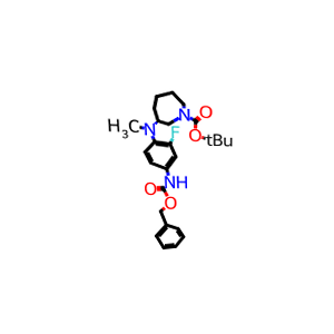 CN(c1ccc(NC(=O)OCc2ccccc2)cc1F)[C@H]1CCCCN(C(=O)OC(C)(C)C)C1